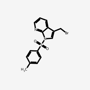 Cc1ccc(S(=O)(=O)n2cc(CBr)c3cccnc32)cc1